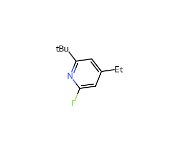 CCc1cc(F)nc(C(C)(C)C)c1